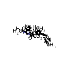 C=C/C=C(/C=C1\OC(Nc2ccc(C#CCN3CCN(C)CC3)cc2C)=C(C(=O)OCC)C1=O)c1cccnc1C